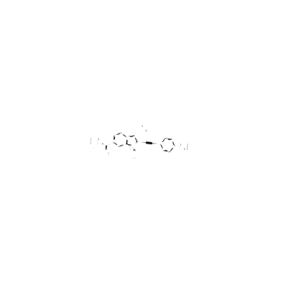 CCn1c(C#Cc2ccc(N)cc2)c(C#N)c2ccc(C(N)=O)cc21